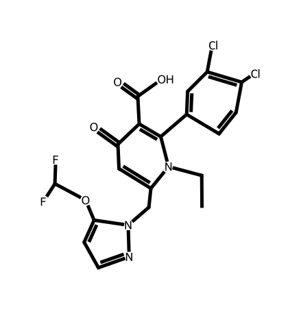 CCn1c(Cn2nccc2OC(F)F)cc(=O)c(C(=O)O)c1-c1ccc(Cl)c(Cl)c1